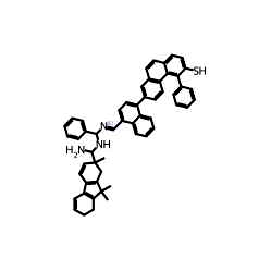 CC1(C)C2=C(C=CCC2)C2=C1CC(C)(C(N)NC(/N=C/c1ccc(-c3ccc4c(ccc5ccc(S)c(-c6ccccc6)c54)c3)c3ccccc13)c1ccccc1)C=C2